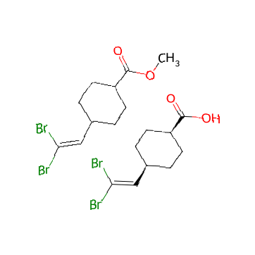 COC(=O)C1CCC(C=C(Br)Br)CC1.O=C(O)[C@H]1CC[C@@H](C=C(Br)Br)CC1